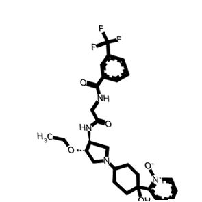 CCO[C@H]1CN(C2CCC(O)(c3cccc[n+]3[O-])CC2)C[C@@H]1NC(=O)CNC(=O)c1cccc(C(F)(F)F)c1